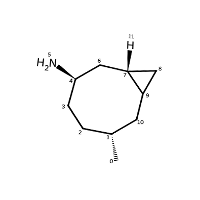 C[C@@H]1CC[C@@H](N)C[C@@H]2CC2C1